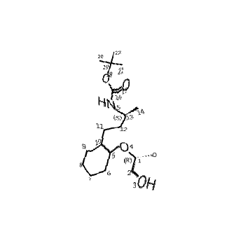 C[C@H](CO)OC1CCCCC1CC[C@H](C)NC(=O)OC(C)(C)C